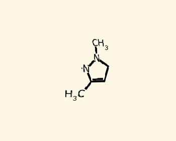 CC1=CCN(C)[N]1